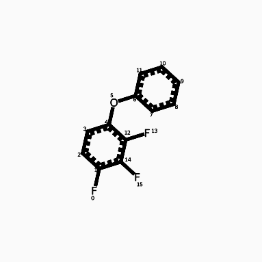 Fc1ccc(Oc2[c]cccc2)c(F)c1F